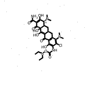 CCN(CC)OC(=O)Nc1c(O)c2c(c(N(C)C)c1Cl)CC1CC3[C@H](N(C)C)C(O)=C(C(N)=O)C(=O)C3(O)C(O)=C1C2=O